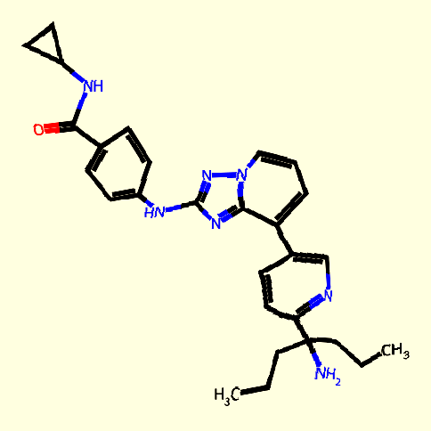 CCCC(N)(CCC)c1ccc(-c2cccn3nc(Nc4ccc(C(=O)NC5CC5)cc4)nc23)cn1